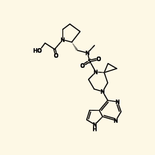 CN(C[C@H]1CCCN1C(=O)CO)S(=O)(=O)N1CCN(c2ncnc3[nH]ccc23)CC12CC2